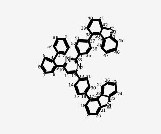 c1ccc(-c2ccccc2-c2cc(-c3ccc(-c4cccc5sc6ccccc6c45)cc3)nc(-c3ccc(-c4cccc5sc6ccccc6c45)cc3)n2)cc1